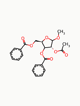 COC1O[C@H](COC(=O)c2ccccc2)C(OC(=O)c2ccccc2)[C@H]1OC(C)=O